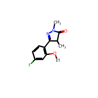 CCOc1cc(F)ccc1C1=NN(C)C(=O)C1C